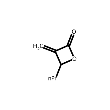 C=C1C(=O)OC1CCC